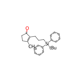 CC1=C(CCC[Si](c2ccccc2)(c2ccccc2)C(C)(C)C)C(=O)CC1